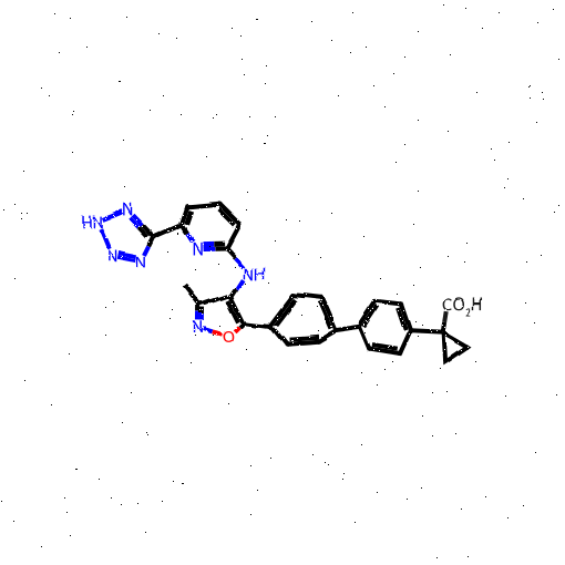 Cc1noc(-c2ccc(-c3ccc(C4(C(=O)O)CC4)cc3)cc2)c1Nc1cccc(-c2nn[nH]n2)n1